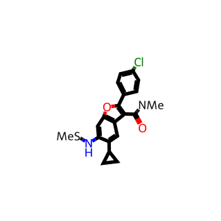 CNC(=O)c1c(-c2ccc(Cl)cc2)oc2cc(NSC)c(C3CC3)cc12